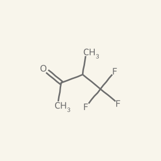 CC(=O)C(C)C(F)(F)F